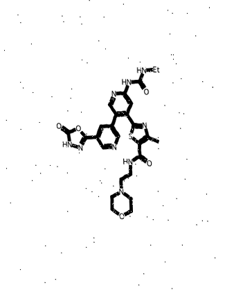 CCNC(=O)Nc1cc(-c2nc(C)c(C(=O)NCCN3CCOCC3)s2)c(-c2cncc(-c3n[nH]c(=O)o3)c2)cn1